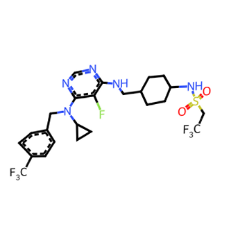 O=S(=O)(CC(F)(F)F)NC1CCC(CNc2ncnc(N(Cc3ccc(C(F)(F)F)cc3)C3CC3)c2F)CC1